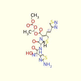 CCOC(=O)OC(C)OC(=O)C1=C(/C=C/c2csnn2)CS[C@@H]2C(NC(=O)/C(=N\O)c3csc(N)n3)C(=O)N12